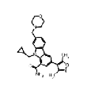 Cc1noc(C)c1-c1cc(C(N)=O)c2c(c1)c1ccc(CN3CCOCC3)cc1n2CC1CC1